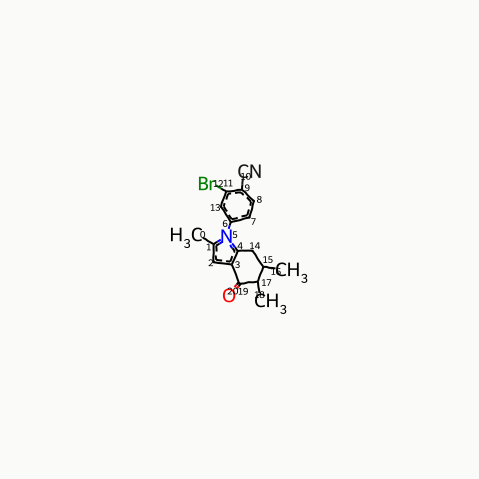 Cc1cc2c(n1-c1ccc(C#N)c(Br)c1)CC(C)C(C)C2=O